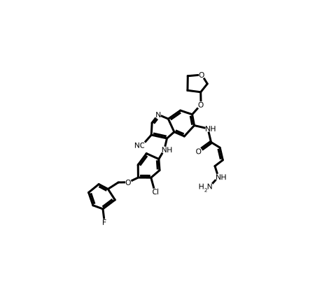 N#Cc1cnc2cc(OC3CCOC3)c(NC(=O)/C=C\CNN)cc2c1Nc1ccc(OCc2cccc(F)c2)c(Cl)c1